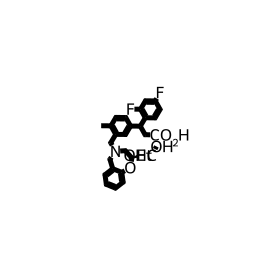 CC[C@@H]1CN(Cc2cc(C(CC(=O)O)c3ccc(F)cc3F)ccc2C)Cc2ccccc2O1.O=CO